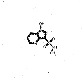 CNS(=O)(=O)c1nn(O)c2cccnc12